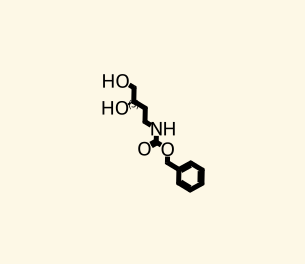 O=C(NCC[C@H](O)CO)OCc1ccccc1